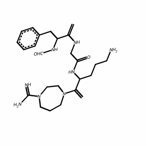 C=C(NCC(=O)NC(CCCN)C(=C)N1CCCN(C(=N)N)CC1)C(Cc1ccccc1)NC=O